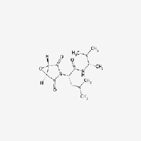 CC(C)C[C@@H](C(=O)N[C@@H](C)C(C)C)N1C(=O)[C@H]2O[C@@H]2C1=O